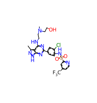 Cc1n[nH]c2nc(-c3ccc(NS(=O)(=O)c4cc(C(F)(F)F)ccn4)c(Cl)c3)nc(NCCN(C)CCO)c12